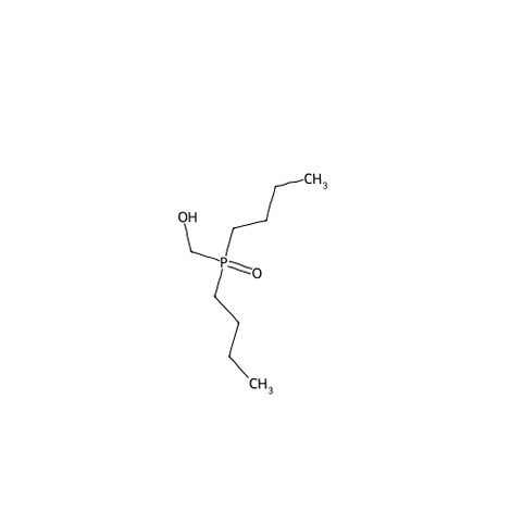 CCCCP(=O)(CO)CCCC